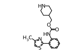 Cc1csc(-c2ccccc2NC(=O)OCC2CCNCC2)n1